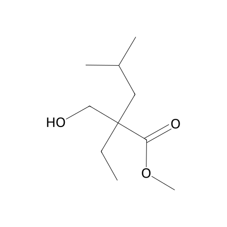 CCC(CO)(CC(C)C)C(=O)OC